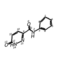 O=C(Nc1ccccc1)c1ccc(=O)[nH]n1